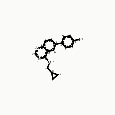 Fc1ccc(-c2ccc3ncnc(OCC4CC4)c3c2)cc1